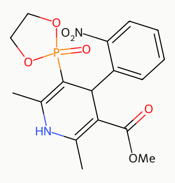 COC(=O)C1=C(C)NC(C)=C(P2(=O)OCCO2)C1c1ccccc1[N+](=O)[O-]